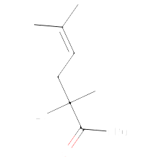 CCCCC(=O)C(C)(CC)CC=C(C)C